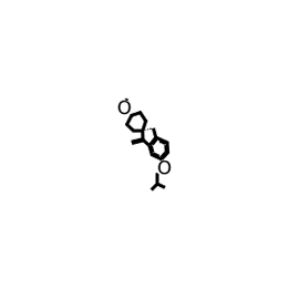 C=C1c2cc(OCC(C)C)ccc2C[C@]12CC[C@@H](OC)CC2